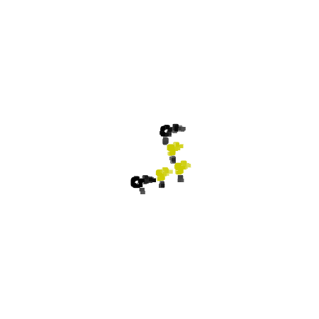 [Cr+3].[Cr+3].[S-2].[S-2].[S-2]